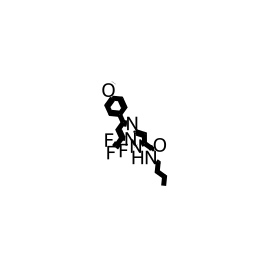 CCCCNC(=O)c1cc2nc(-c3ccc(OC)cc3)cc(C(F)(F)F)n2n1